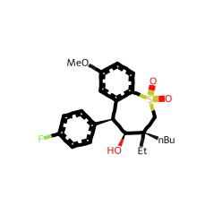 CCCC[C@]1(CC)CS(=O)(=O)c2ccc(OC)cc2[C@H](c2ccc(F)cc2)[C@@H]1O